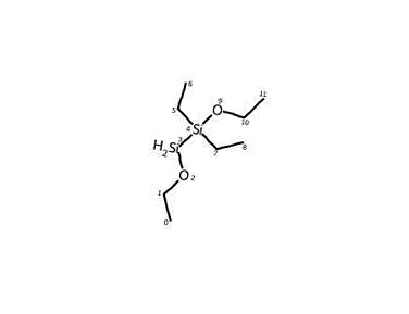 CCO[SiH2][Si](CC)(CC)OCC